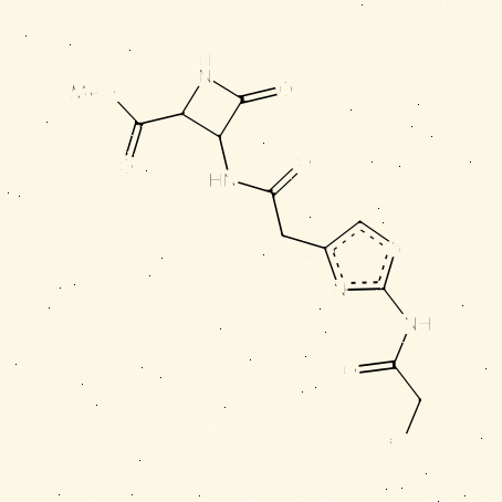 COC(=O)C1NC(=O)C1NC(=O)Cc1csc(NC(=O)CCl)n1